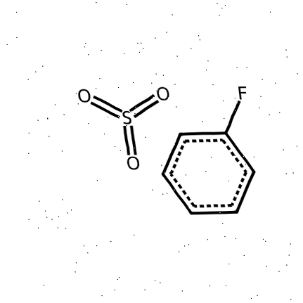 Fc1ccccc1.O=S(=O)=O